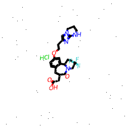 CCC1c2cc(OCCc3cn4c(n3)NCCC4)ccc2CC(CC(=O)O)C(=O)N1CC(F)(F)F.Cl